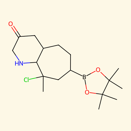 CC1(Cl)CC(B2OC(C)(C)C(C)(C)O2)CCC2CC(=O)CNC21